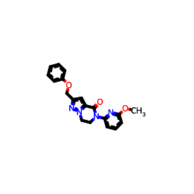 COc1cccc(N2CCn3nc(COc4ccccc4)cc3C2=O)n1